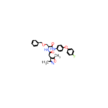 Cc1noc(C)c1CC(=O)NC(COCc1ccccc1)C(=O)Nc1ccc(Oc2ccc(F)cc2)cc1